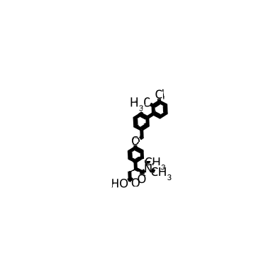 Cc1c(Cl)cccc1-c1cccc(COc2ccc([C@H](CC(=O)O)C(=O)N(C)C)cc2)c1